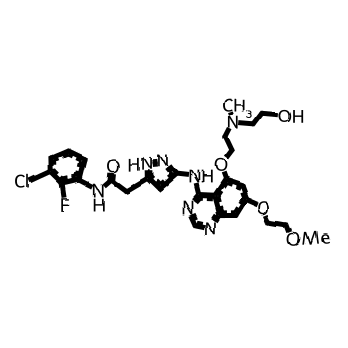 COCCOc1cc(OCCN(C)CCO)c2c(Nc3cc(CC(=O)Nc4cccc(Cl)c4F)[nH]n3)ncnc2c1